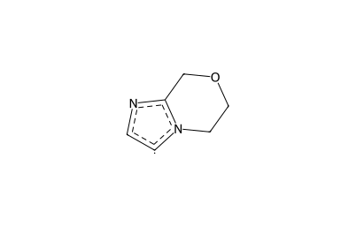 [c]1cnc2n1CCOC2